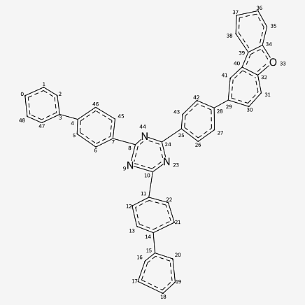 c1ccc(-c2ccc(-c3nc(-c4ccc(-c5ccccc5)cc4)nc(-c4ccc(-c5ccc6oc7ccccc7c6c5)cc4)n3)cc2)cc1